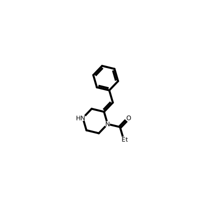 CCC(=O)N1CCNCC1=Cc1ccccc1